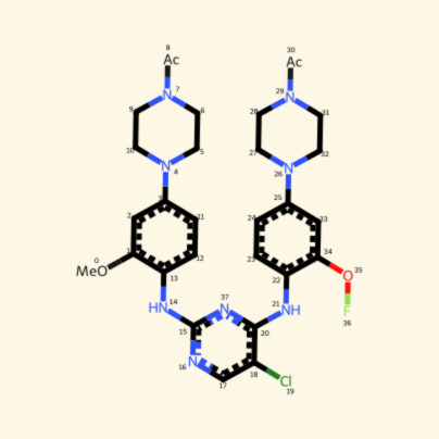 COc1cc(N2CCN(C(C)=O)CC2)ccc1Nc1ncc(Cl)c(Nc2ccc(N3CCN(C(C)=O)CC3)cc2OF)n1